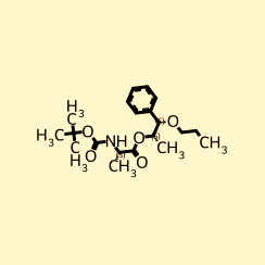 CCCO[C@@H](c1ccccc1)[C@H](C)OC(=O)[C@H](C)NC(=O)OC(C)(C)C